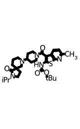 Cc1ccc2c(C(=O)N3CCC(N4CCCC5(CCN(C(C)C)C5=O)C4)CC3)c(NC(=O)OC(C)(C)C)sc2n1